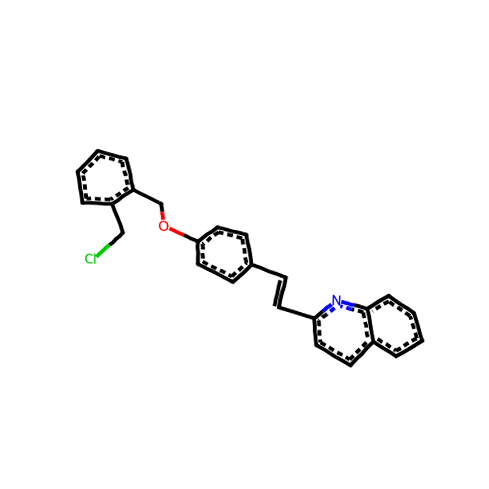 ClCc1ccccc1COc1ccc(C=Cc2ccc3ccccc3n2)cc1